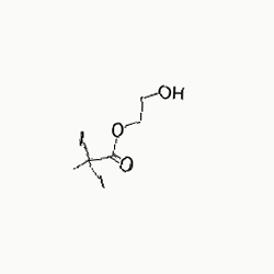 CC(I)(I)C(=O)OCCO